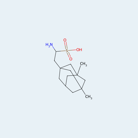 CC12CC3CC(C)(C1)CC(CC(N)S(=O)(=O)O)(C3)C2